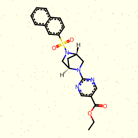 CCOC(=O)c1cnc(N2C[C@@H]3C[C@@H]2CN3S(=O)(=O)c2ccc3ccccc3c2)nc1